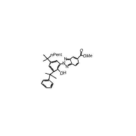 CCCCCC(C)(C)c1cc(-n2nc3ccc(C(=O)OC)cc3n2)c(O)c(C(C)(C)c2ccccc2)c1